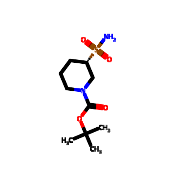 CC(C)(C)OC(=O)N1CCC[C@H](S(N)(=O)=O)C1